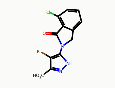 O=C(O)c1n[nH]c(N2Cc3cccc(Cl)c3C2=O)c1Br